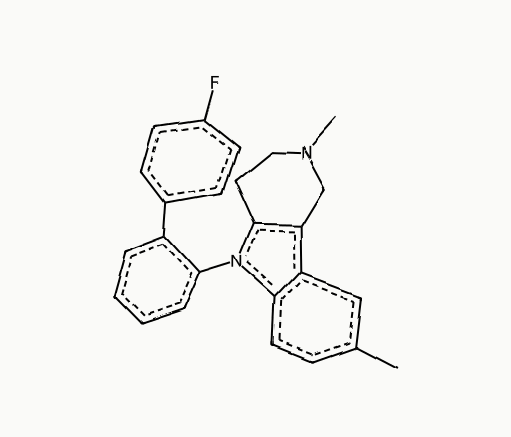 Cc1ccc2c(c1)c1c(n2-c2ccccc2-c2ccc(F)cc2)CCN(C)C1